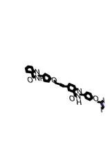 O=c1[nH]c(-c2ccc(OCC#Cc3ccc4nc(-c5ccc(OC/C(I)=C\I)cc5)[nH]c(=O)c4c3)cc2)nc2ccccc12